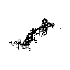 CNC(=O)CC[C@@H](C)[C@H]1CC[C@H]2[C@@H]3CCC4C[C@H](OC(=O)NCCC(O)CCOC(c5ccccc5)(c5ccc(OC)cc5)c5ccc(OC)cc5)CC[C@]4(C)[C@H]3CC[C@]12C